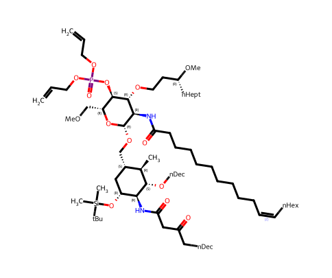 C=CCOP(=O)(OCC=C)O[C@H]1[C@H](OCC[C@@H](CCCCCCC)OC)[C@@H](NC(=O)CCCCCCCCC/C=C\CCCCCC)[C@H](OC[C@H]2C[C@@H](O[Si](C)(C)C(C)(C)C)[C@H](NC(=O)CC(=O)CCCCCCCCCCC)[C@@H](OCCCCCCCCCC)[C@@H]2C)O[C@@H]1COC